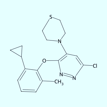 Cc1cccc(C2CC2)c1Oc1nnc(Cl)cc1N1CCSCC1